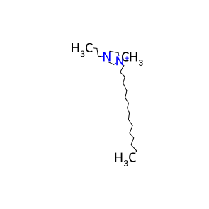 CCCCCCCCCCCCCCCC[N+]1(C)CCN(CCC)CC1